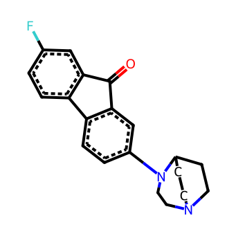 O=C1c2cc(F)ccc2-c2ccc(N3CCN4CCC3CC4)cc21